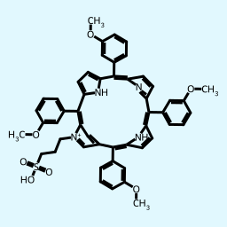 COc1cccc(-c2c3cc(c(-c4cccc(OC)c4)c4ccc([nH]4)c(-c4cccc(OC)c4)c4nc(c(-c5cccc(OC)c5)c5ccc2[nH]5)C=C4)[N+](CCCS(=O)(=O)O)=C3)c1